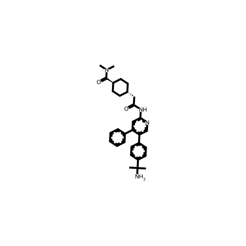 CN(C)C(=O)[C@H]1CC[C@H](CC(=O)Nc2cc(-c3ccccc3)c(-c3ccc(C(C)(C)N)cc3)cn2)CC1